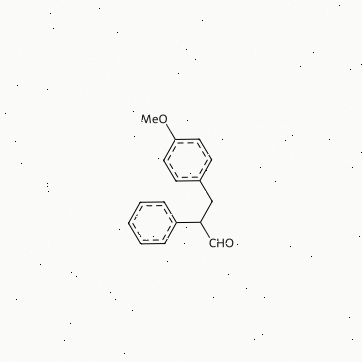 COc1ccc(CC(C=O)c2ccccc2)cc1